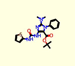 CN(C)c1nc(NC(=O)Nc2cccs2)c(C(=O)OC(C)(C)C)n1-c1ccccc1